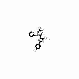 CC(=O)ON(Cc1ccccn1)C(=O)c1oc(-c2ccc(Cl)cc2)nc1C